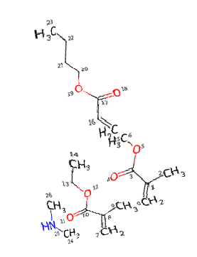 C=C(C)C(=O)OC.C=C(C)C(=O)OCC.C=CC(=O)OCCCC.CNC